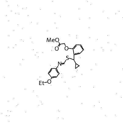 CCOc1ccc(N=CSC(c2ccccc2OCC(=O)OC)C2CC2)cc1